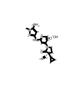 Cl.Cl.Cn1nc(Nc2cc(N3CC[C@@](C#N)(C4CC4)C3=O)ccn2)cc1N